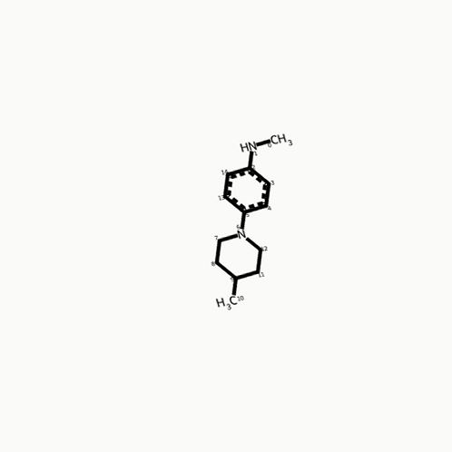 CNc1ccc(N2CCC(C)CC2)cc1